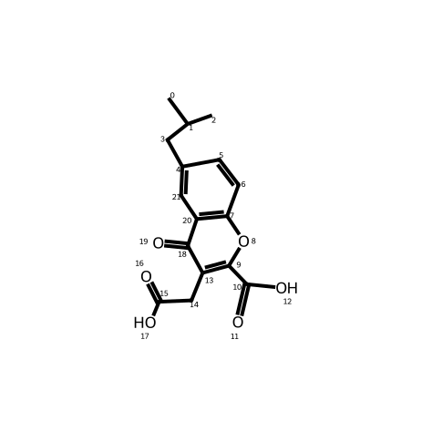 CC(C)Cc1ccc2oc(C(=O)O)c(CC(=O)O)c(=O)c2c1